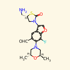 C[C@@H]1CN(c2c(C=O)cc3c(N4C[C@H](CN)SC4=O)coc3c2F)C[C@@H](C)O1